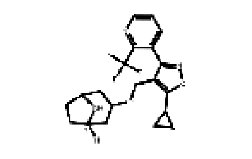 FC(F)(F)c1ncccc1-c1noc(C2CC2)c1COC1CC2CC[C@@H](C1)N2